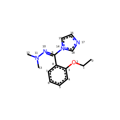 CCOc1ccccc1/C(=N\N(C)C)n1ccnc1